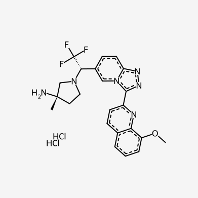 COc1cccc2ccc(-c3nnc4ccc([C@H](N5CC[C@](C)(N)C5)C(F)(F)F)cn34)nc12.Cl.Cl